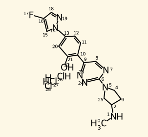 CNC1CCN(c2ncc(-c3ccc(-n4cc(F)cn4)cc3O)nn2)C1.Cl.Cl.Cl